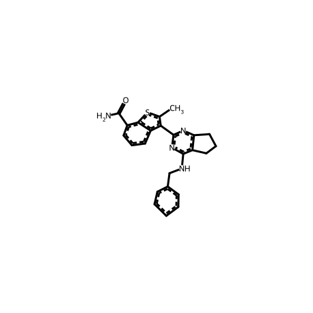 Cc1sc2c(C(N)=O)cccc2c1-c1nc2c(c(NCc3ccccc3)n1)CCC2